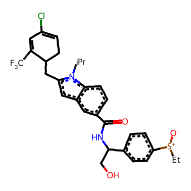 CC[S+]([O-])c1ccc(C(CO)NC(=O)c2ccc3c(c2)cc(CC2CC=C(Cl)C=C2C(F)(F)F)n3C(C)C)cc1